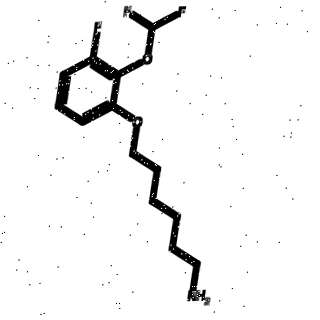 NCCCCCCOc1cccc(F)c1OC(F)F